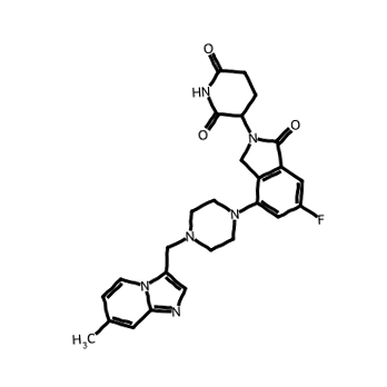 Cc1ccn2c(CN3CCN(c4cc(F)cc5c4CN(C4CCC(=O)NC4=O)C5=O)CC3)cnc2c1